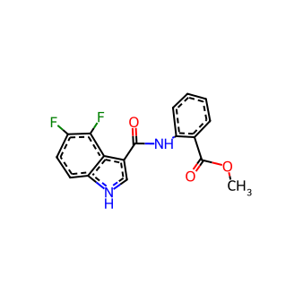 COC(=O)c1ccccc1NC(=O)c1c[nH]c2ccc(F)c(F)c12